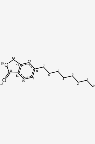 CCCCCCCCc1ccc2c(c1)COC2=O